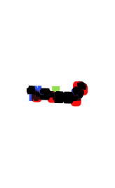 CC(C)c1noc(N2CCC(COc3ccc(C4=CCC(C(=O)N5CCC6(CC5)OCCO6)CC4)cc3F)CC2)n1